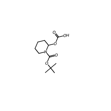 CC(C)(C)OC(=O)N1CCCCC1OC(=O)O